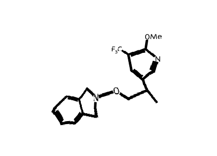 COc1ncc(C(C)CON2Cc3ccccc3C2)cc1C(F)(F)F